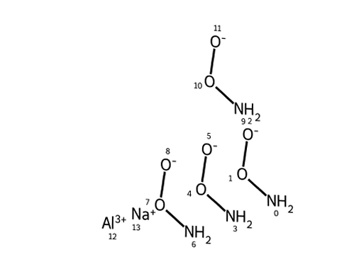 NO[O-].NO[O-].NO[O-].NO[O-].[Al+3].[Na+]